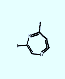 CC1=NC(I)=CN=C=C1